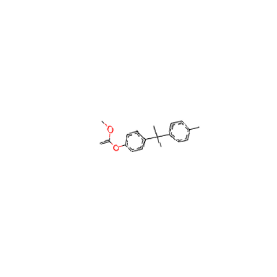 C=C(OC)Oc1ccc(C(C)(C)c2ccc(C)cc2)cc1